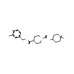 CCC1(CC)CCC(OC(=O)N2CCC(C(=O)NCc3ccc(O)c(C)c3)CC2)CC1